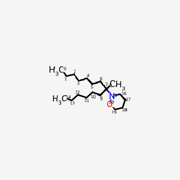 CCCCCCCC(C)(CCCCCC)N1CCCCO1